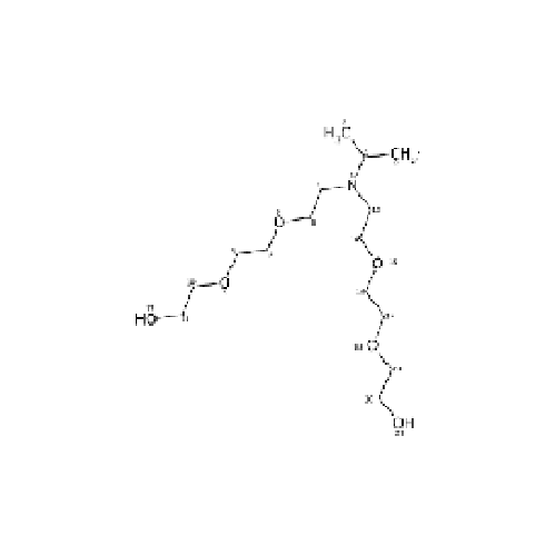 [CH2]C(C)N(CCOCCOCCO)CCOCCOCCO